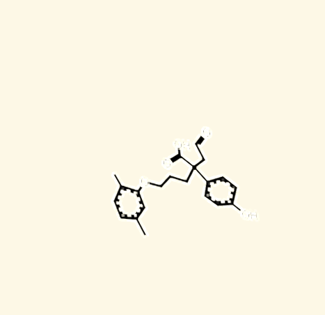 Cc1ccc(C)c(OCCCC(CC=O)(C(=O)O)c2ccc(O)cc2)c1